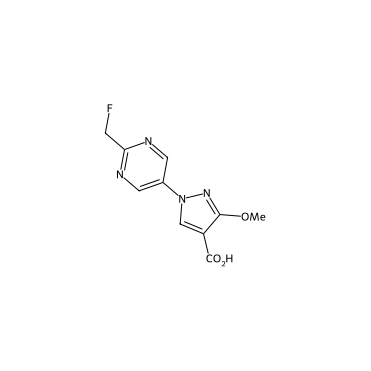 COc1nn(-c2cnc(CF)nc2)cc1C(=O)O